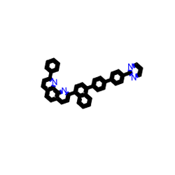 c1ccc(-c2ccc3ccc4ccc(-c5ccc(-c6ccc(-c7ccc(-c8ncccn8)cc7)cc6)c6ccccc56)nc4c3n2)cc1